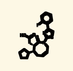 O=C(O)C[C@@H]1C(=O)N(c2nc(-c3ccccc3F)cs2)CC=CC[C@H]1C1CCCC1